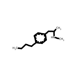 CCCCc1ccc(CC(C)NC)cc1